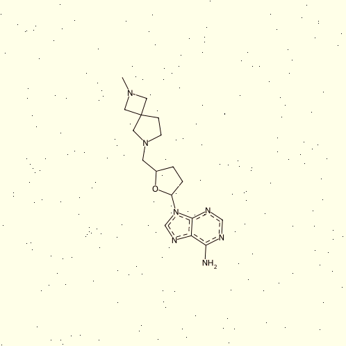 CN1CC2(CCN(CC3CCC(n4cnc5c(N)ncnc54)O3)C2)C1